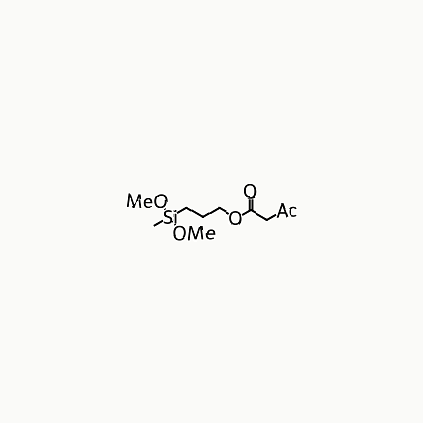 CO[Si](C)(CCCOC(=O)CC(C)=O)OC